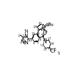 Cc1nnc(-c2ccc(C(=O)N3CCC(C(F)(F)F)CC3)c(-c3ccn(C(C)(C)C)n3)c2)[nH]1